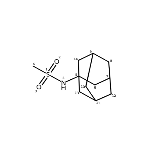 CS(=O)(=O)NC12CC3CC(CC(C3)C1)C2